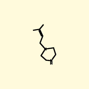 CC(C)=CCN1CCNCC1